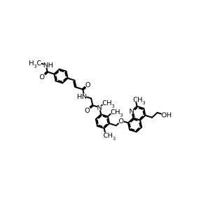 CNC(=O)c1ccc(C=CC(=O)NCC(=O)N(C)c2ccc(C)c(COc3cccc4c(CCO)cc(C)nc34)c2C)cc1